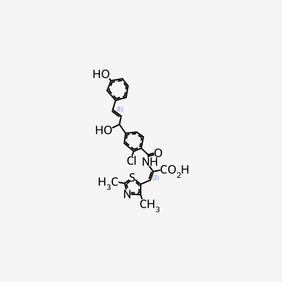 Cc1nc(C)c(/C=C(\NC(=O)c2ccc(C(O)/C=C/c3cccc(O)c3)cc2Cl)C(=O)O)s1